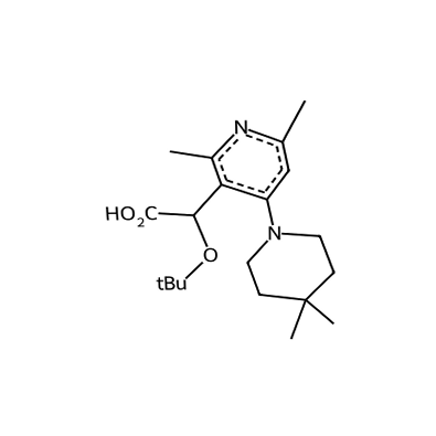 Cc1cc(N2CCC(C)(C)CC2)c(C(OC(C)(C)C)C(=O)O)c(C)n1